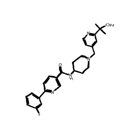 CC(C)(O)c1cc(CN2CCC(NC(=O)c3ccc(-c4cccc(F)c4)nc3)CC2)ccn1